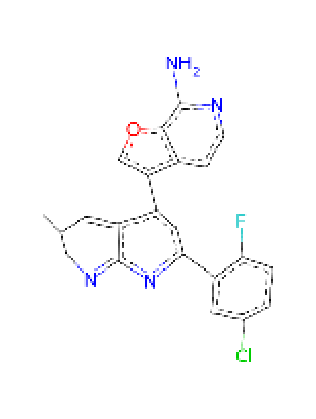 CC1C=c2c(-c3coc4c(N)nccc34)cc(-c3cc(Cl)ccc3F)nc2=NC1